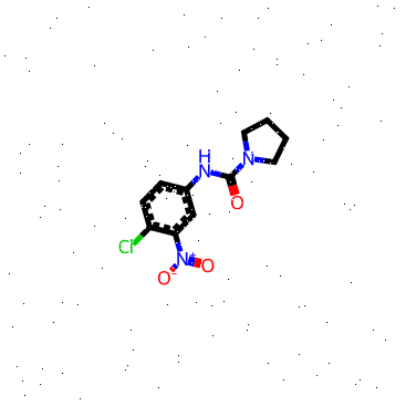 O=C(Nc1ccc(Cl)c([N+](=O)[O-])c1)N1CCCC1